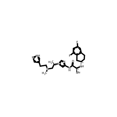 CCC[C@H](N[C@H]1CCc2cc(F)cc(F)c2C1)C(=O)Nc1cn([C@@H](C)CN(C)CCc2cn[nH]c2)cn1